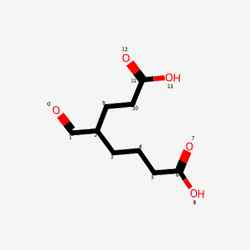 O=CC(CCCC(=O)O)CCC(=O)O